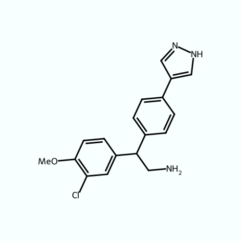 COc1ccc(C(CN)c2ccc(-c3cn[nH]c3)cc2)cc1Cl